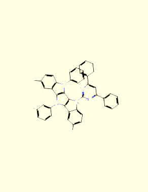 CC(C)(C)c1ccc2c(c1)c1c(c3c(c4cc(C(C)(C)C)ccc4n3-c3nc(C4=CC=CCC4)cc(-c4ccccc4)n3)n1-c1ccccc1)n2-c1ccccc1